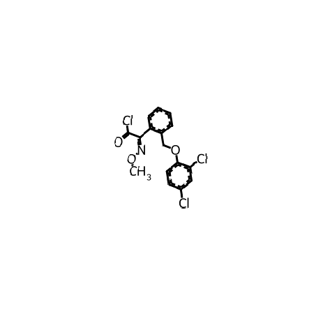 CON=C(C(=O)Cl)c1ccccc1COc1ccc(Cl)cc1Cl